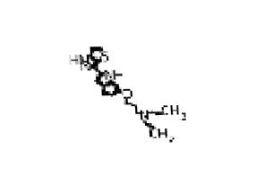 C=CCN(CC=C)CCCOc1ccc2cc(-c3n[nH]c4ccsc34)[nH]c2c1